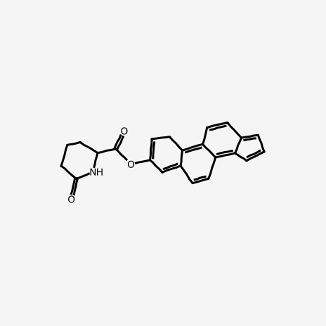 O=C1CCCC(C(=O)OC2=CCc3c(ccc4c5c(ccc34)=CC=C5)=C2)N1